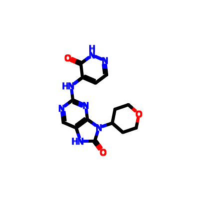 O=c1[nH]nccc1Nc1ncc2[nH]c(=O)n(C3CCOCC3)c2n1